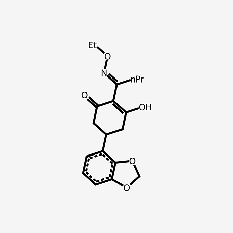 CCCC(=NOCC)C1=C(O)CC(c2cccc3c2OCO3)CC1=O